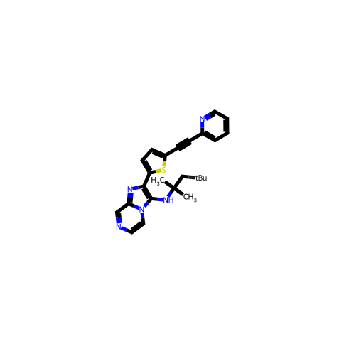 CC(C)(C)CC(C)(C)Nc1c(-c2ccc(C#Cc3ccccn3)s2)nc2cnccn12